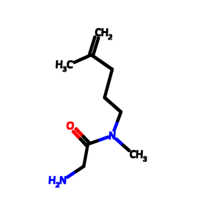 C=C(C)CCCN(C)C(=O)CN